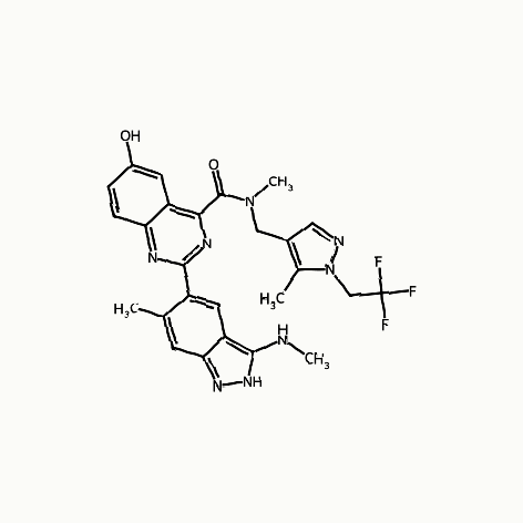 CNc1[nH]nc2cc(C)c(-c3nc(C(=O)N(C)Cc4cnn(CC(F)(F)F)c4C)c4cc(O)ccc4n3)cc12